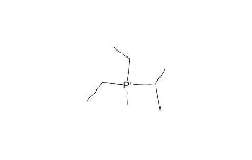 CC[P+](C)(CC)C(C)C